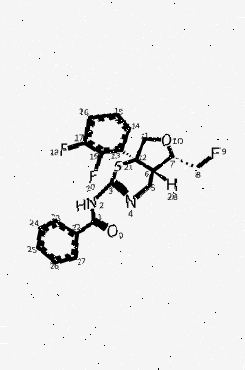 O=C(NC1=NC[C@H]2[C@@H](CF)OC[C@]2(c2cccc(F)c2F)S1)c1ccccc1